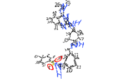 Cc1ccc(S(=O)(=O)Nc2cccc(CN[C@H]3CC[C@@H](Nc4nc(N(C)C)c5ccccc5n4)CC3)c2)cc1